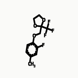 Cc1ccc(OCC2(C(F)(F)F)OCCO2)c(F)c1